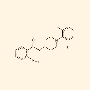 Cc1cccc(F)c1N1CCC(NC(=O)c2ccccc2[N+](=O)[O-])CC1